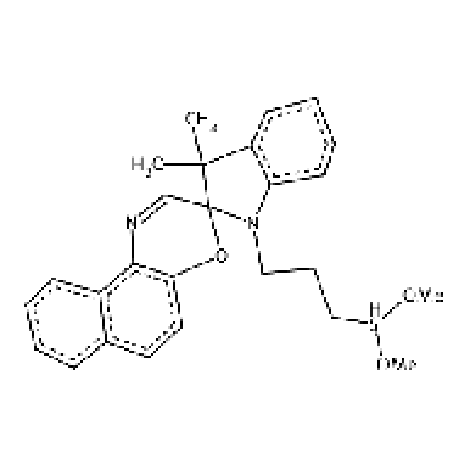 CO[SiH](CCCN1c2ccccc2C(C)(C)C12C=Nc1c(ccc3ccccc13)O2)OC